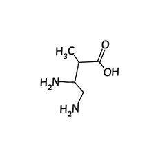 CC(C(=O)O)C(N)CN